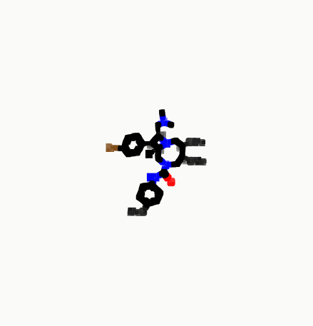 COc1ccc(NC(=O)N2C[C@@H](OC)[C@@H](OC)CN3[C@H](CN(C)C)[C@H](c4ccc(Br)cc4)[C@@H]3C2)cc1